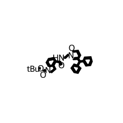 CC(C)(C)OC(=O)N1CCc2c(C(=O)NCCn3cc(C(c4ccccc4)c4ccccc4)ccc3=O)cccc21